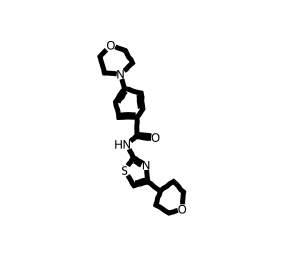 O=C(Nc1nc(C2CCOCC2)cs1)c1ccc(N2CCOCC2)cc1